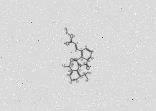 CCOC(=O)C=Cc1cccc2c1C(=O)N(c1c(C(C)C)cccc1C(C)C)C2=O